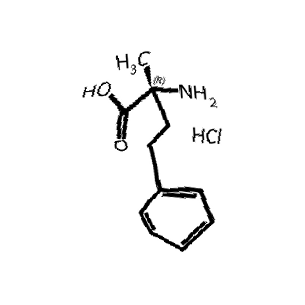 C[C@@](N)(CCc1ccccc1)C(=O)O.Cl